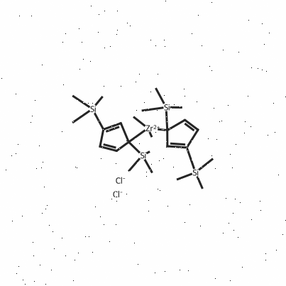 C[Si](C)(C)C1=C[C]([Si](C)(C)C)([Zr+2]([CH3])([CH3])[C]2([Si](C)(C)C)C=CC([Si](C)(C)C)=C2)C=C1.[Cl-].[Cl-]